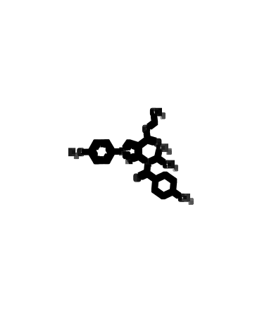 CCOC(=O)c1cn(-c2ccc(C)cc2)nc1N(C(=O)C1CCC(C)CC1)C(C)C